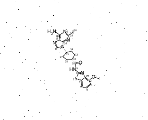 COc1cccc2sc(NC(=O)[C@H]3CC[C@@H](n4cnc5c(N)nc(I)nc54)CC3)nc12